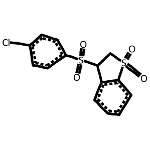 O=S1(=O)CC(S(=O)(=O)c2ccc(Cl)cc2)c2ccccc21